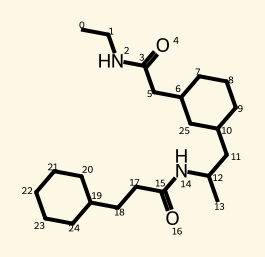 CCNC(=O)CC1CCCC(CC(C)NC(=O)CCC2CCCCC2)C1